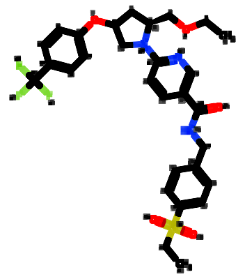 CCOC[C@@H]1CC(Oc2ccc(C(F)(F)F)cc2)CN1c1ccc(C(=O)NCc2ccc(S(=O)(=O)CC)cc2)cn1